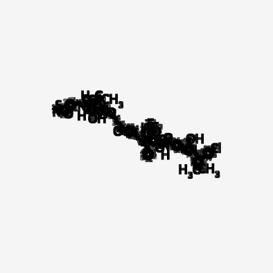 CC(C)[C@H](C(=O)N1C[C@H](O)C[C@H]1C(=O)NCc1ccc2c(c1)OCc1ncsc1-2)c1cc(OCCCCC(=O)N2CCN(CC[C@H](CSc3ccccc3)Nc3ccc(S(=O)(=O)NC(=O)c4ccc(N5CCN(CC6=C(c7ccc(Cl)cc7)CC(C)(C)CC6)C[C@H]5CO)cc4)cc3S(=O)(=O)C(F)(F)F)CC2)no1